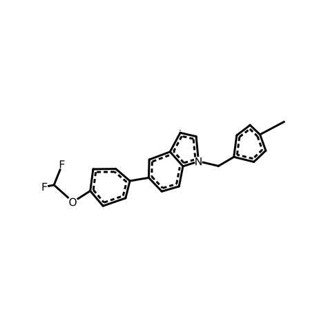 Cc1ccc(Cn2c[c]c3cc(-c4ccc(OC(F)F)cc4)ccc32)cc1